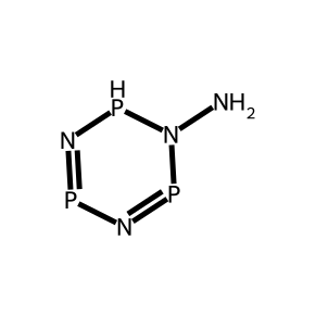 NN1P=NP=NP1